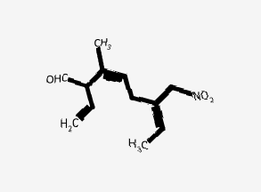 C=CC(C=O)/C(C)=C\C/C(=C\C)C[N+](=O)[O-]